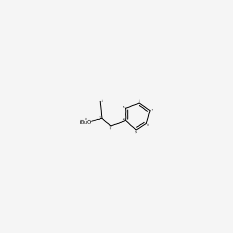 CC(C)COC(C)[CH]c1ccccc1